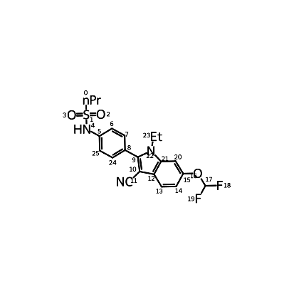 CCCS(=O)(=O)Nc1ccc(-c2c(C#N)c3ccc(OC(F)F)cc3n2CC)cc1